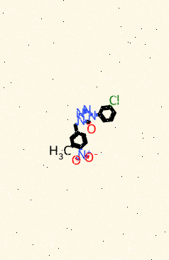 Cc1cc(Cn2nnn(-c3cccc(Cl)c3)c2=O)ccc1[N+](=O)[O-]